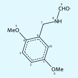 COc1ccc(OC)c(CN[C]=O)c1